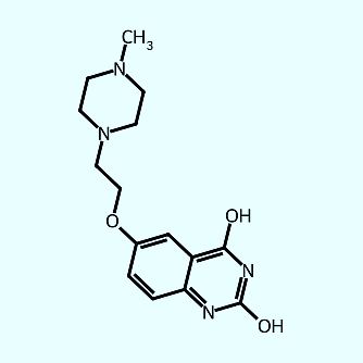 CN1CCN(CCOc2ccc3nc(O)nc(O)c3c2)CC1